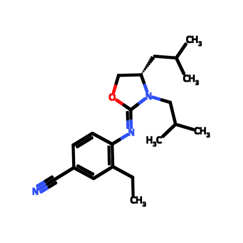 CCc1cc(C#N)ccc1/N=C1\OC[C@H](CC(C)C)N1CC(C)C